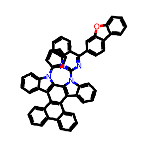 c1ccc(-n2c3ccccc3c3c4c5ccccc5c5ccccc5c4c4c5ccccc5n(-c5nc(-c6ccc7c(c6)oc6ccccc67)c6ccccc6n5)c4c32)cc1